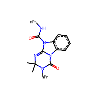 CCCNC(=O)N1C2=NC(C)(C)N(CCC)C(=O)N2c2ccccc21